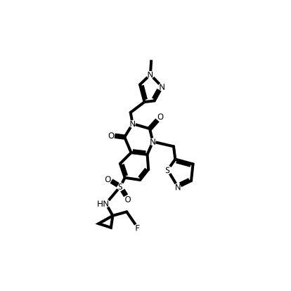 Cn1cc(Cn2c(=O)c3cc(S(=O)(=O)NC4(CF)CC4)ccc3n(Cc3ccns3)c2=O)cn1